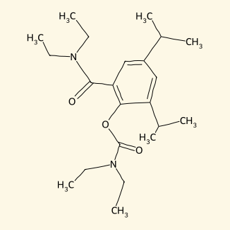 CCN(CC)C(=O)Oc1c(C(=O)N(CC)CC)cc(C(C)C)cc1C(C)C